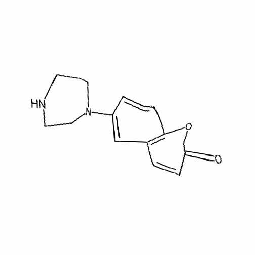 O=c1ccc2cc(N3CCNCC3)ccc2o1